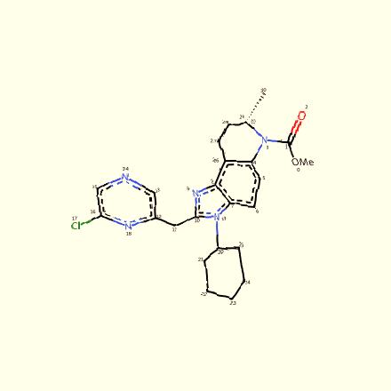 COC(=O)N1c2ccc3c(nc(Cc4cncc(Cl)n4)n3C3CCCCC3)c2CC[C@@H]1C